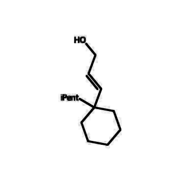 CCCC(C)C1(/C=C/CO)CCCCC1